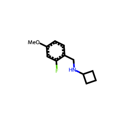 COc1ccc(CNC2CCC2)c(F)c1